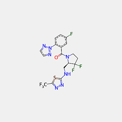 O=C(c1cc(F)ccc1-n1nccn1)N1CCC(F)(F)[C@H]1CNc1nnc(C(F)(F)F)s1